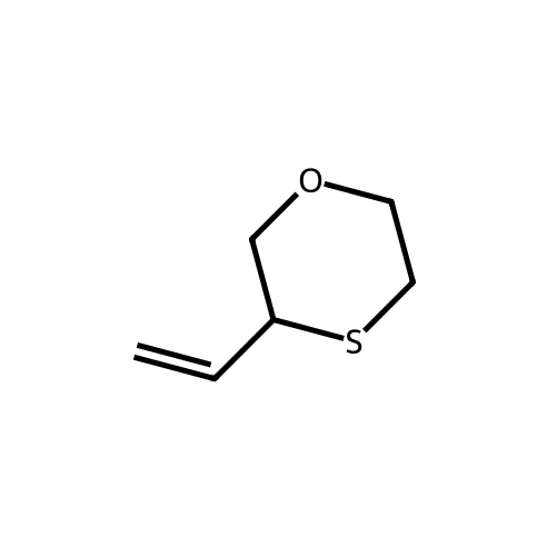 C=CC1COCCS1